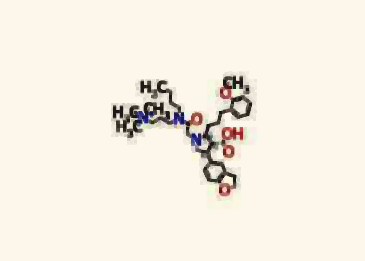 CCCCN(CCC[N+](C)(C)C)C(=O)CN1C[C@H](c2ccc3c(c2)CCO3)[C@@H](C(=O)O)[C@@H]1CCCc1ccccc1OC